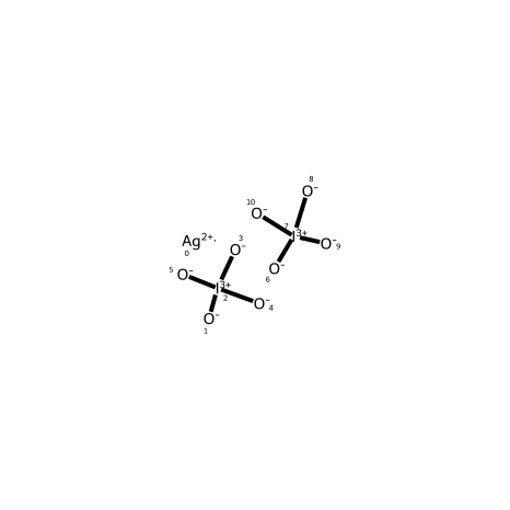 [Ag+2].[O-][I+3]([O-])([O-])[O-].[O-][I+3]([O-])([O-])[O-]